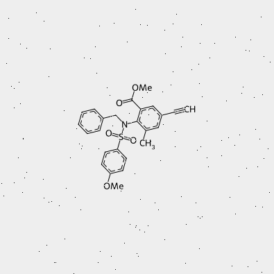 C#Cc1cc(C)c(N(Cc2ccccc2)S(=O)(=O)c2ccc(OC)cc2)c(C(=O)OC)c1